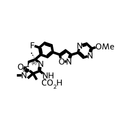 CN=[S@@]1(=O)C[C@@](C)(c2cc(-c3cc(-c4cnc(OC)cn4)no3)ccc2F)N=C(NC(=O)O)C1(C)C